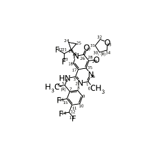 Cc1nc(N[C@H](C)c2cccc(C(F)F)c2F)c2cn(C3(C(F)F)CC3)c(=O)c(O[C@@H]3CCOC3)c2n1